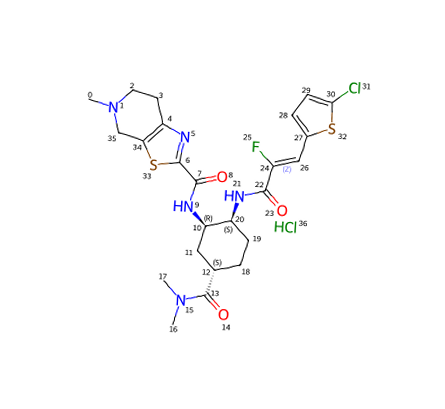 CN1CCc2nc(C(=O)N[C@@H]3C[C@@H](C(=O)N(C)C)CC[C@@H]3NC(=O)/C(F)=C/c3ccc(Cl)s3)sc2C1.Cl